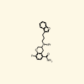 CCCN(CCCc1coc2ccccc12)C1COc2c(F)ccc(C(N)=O)c2C1